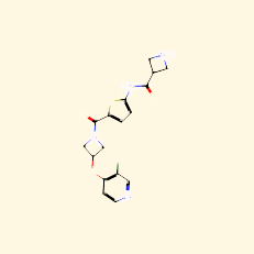 O=C(Nc1ccc(C(=O)N2CC(Oc3ccncc3Cl)C2)s1)C1CNC1